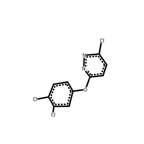 Clc1ccc(Oc2ccc(Cl)c(Cl)c2)nn1